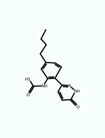 CCCCc1ccc(-c2ccc(=O)[nH]n2)c(NC(=O)S)c1